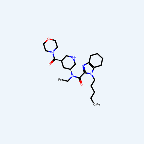 COCCCCn1c(C(=O)N(CC(C)C)[C@@H]2CNC[C@H](C(=O)N3CCOCC3)C2)nc2c1CCCC2